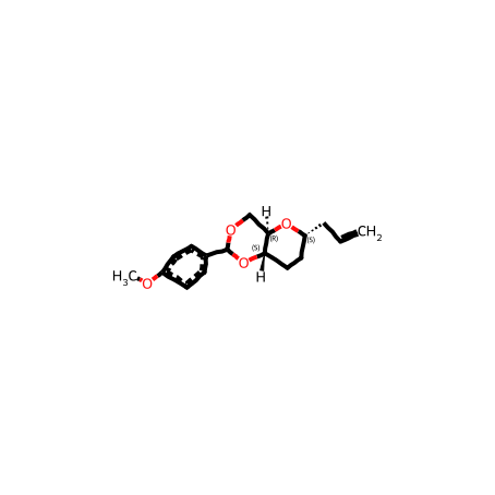 C=CC[C@@H]1CC[C@@H]2OC(c3ccc(OC)cc3)OC[C@H]2O1